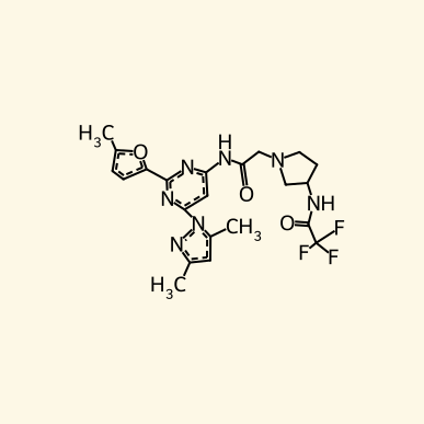 Cc1cc(C)n(-c2cc(NC(=O)CN3CCC(NC(=O)C(F)(F)F)C3)nc(-c3ccc(C)o3)n2)n1